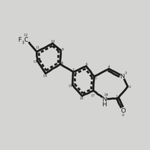 O=C1CN=Cc2cc(-c3ccc(C(F)(F)F)cc3)ccc2N1